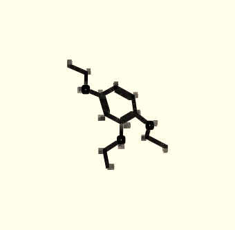 CCOc1ccc(OCC)c(OCC)c1